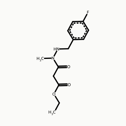 CCOC(=O)CC(=O)N(C)NCc1ccc(F)cc1